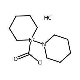 Cl.O=C(Cl)[N+]1(N2CCCCC2)CCCCC1